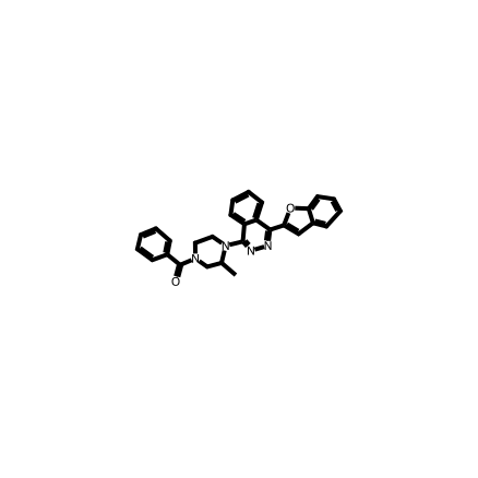 CC1CN(C(=O)c2ccccc2)CCN1c1nnc(-c2cc3ccccc3o2)c2ccccc12